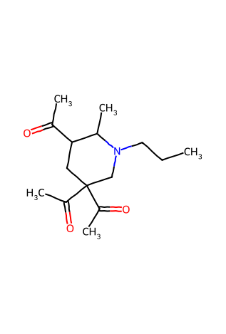 CCCN1CC(C(C)=O)(C(C)=O)CC(C(C)=O)C1C